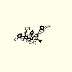 COc1cccc(COC2CC(c3cc4c(C)nc5c(F)c(-c6cccc(Cl)c6Cl)c(CCC#N)cc5c4n3C3C4CNC3C4)N(C(=O)C3CC3)C2)c1F